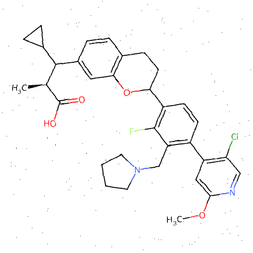 COc1cc(-c2ccc(C3CCc4ccc(C(C5CC5)[C@H](C)C(=O)O)cc4O3)c(F)c2CN2CCCC2)c(Cl)cn1